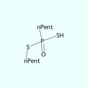 CCCCCSP(=O)(S)CCCCC